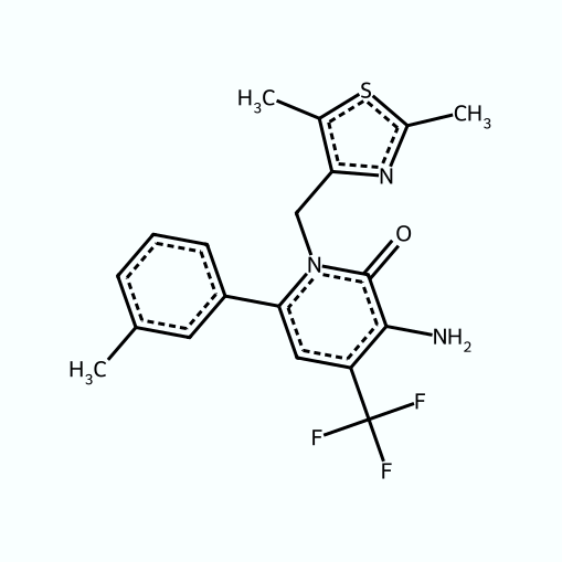 Cc1cccc(-c2cc(C(F)(F)F)c(N)c(=O)n2Cc2nc(C)sc2C)c1